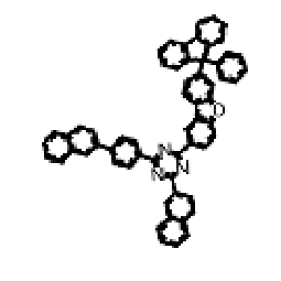 c1ccc(C2(c3ccc4c(c3)oc3ccc(-c5nc(-c6ccc(-c7ccc8ccccc8c7)cc6)nc(-c6ccc7ccccc7c6)n5)cc34)c3ccccc3-c3ccccc32)cc1